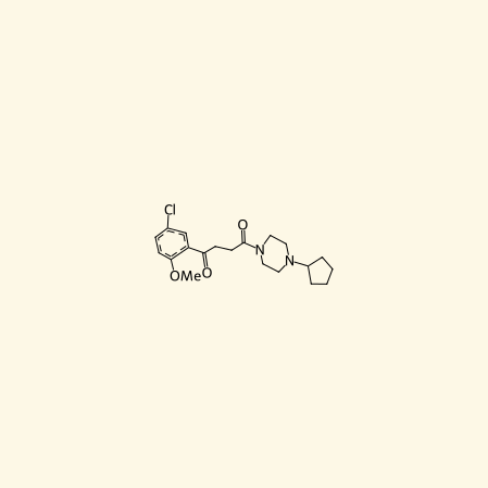 COc1ccc(Cl)cc1C(=O)CCC(=O)N1CCN(C2CCCC2)CC1